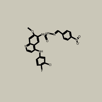 COc1cc2nccc(Nc3ccc(F)c(Cl)c3)c2cc1NC(=O)N/N=C/c1ccc([N+](=O)[O-])cc1